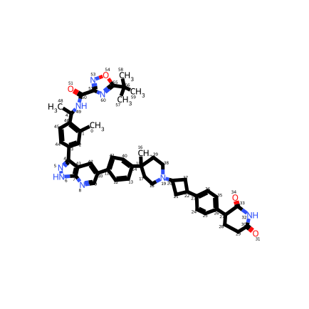 Cc1cc(-c2n[nH]c3ncc(-c4ccc(C5(C)CCN(C6CC(c7ccc(C8CCC(=O)NC8=O)cc7)C6)CC5)cc4)cc23)ccc1C(C)NC(=O)c1noc(C(C)(C)C)n1